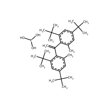 C=C(c1c(C)cc(C(C)(C)C)cc1C(C)(C)C)c1c(C)cc(C(C)(C)C)cc1C(C)(C)C.OP(O)O